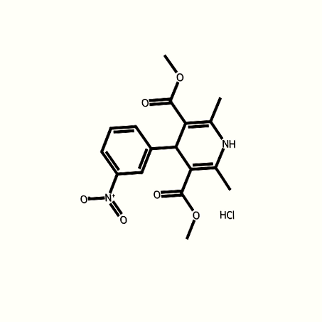 COC(=O)C1=C(C)NC(C)=C(C(=O)OC)C1c1cccc([N+](=O)[O-])c1.Cl